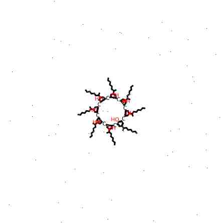 CCCCCCC(C)c1cc2c(O)c(c1)Cc1cc(C(C)CCCCCC)cc(c1O)Cc1cc(C(C)CCCCCC)cc(c1O)Cc1cc(C(C)CCCCCC)cc(c1O)Cc1cc(C(C)CCCCCC)cc(c1O)Cc1cc(C(C)CCCCCC)cc(c1O)Cc1cc(C(C)CCCCCC)cc(c1O)Cc1cc(C(C)CCCCCC)cc(c1O)C2